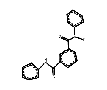 O=C(Nc1ccccc1)c1cccc(C(=O)N(F)c2ccccc2)c1